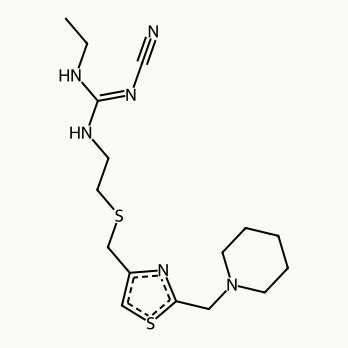 CCNC(=NC#N)NCCSCc1csc(CN2CCCCC2)n1